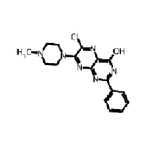 CN1CCN(c2nc3nc(-c4ccccc4)nc(O)c3nc2Cl)CC1